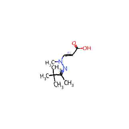 CC(=NN(C)/C=C/C(=O)O)C(C)(C)C